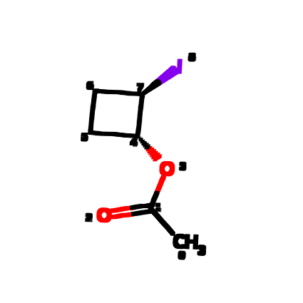 CC(=O)O[C@@H]1CC[C@H]1I